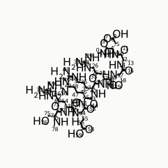 CNC(=O)[C@H](CC(=O)O)NC(=O)[C@H](C)NC(=O)[C@H](CO)NC(=O)[C@@H](CCCNC(=N)N)NC(=O)[C@H](CCCNC(=N)N)NC(=O)[C@H](CCCCN)NC(=O)[C@H](CCC(=O)O)NC(=O)[C@H](CCCNC(=N)N)NC(=O)[C@H](CO)NC